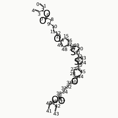 C=CC(C=C)OC(=O)CCCCCOc1ccc(-c2ccc(-c3ccc(-c4ccc(OCCCCCC(=O)OC(C=C)C=C)cc4)s3)s2)cc1